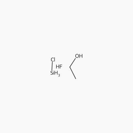 CCO.F.[SiH3]Cl